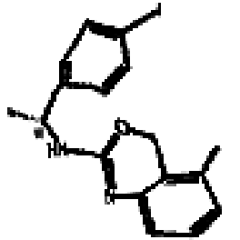 Cc1cccc2c1COC(N[C@H](C)c1ccc(I)cc1)=N2